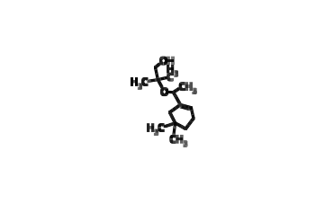 CC(OC(C)(C)CO)C1=CCCC(C)(C)C1